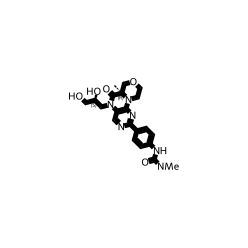 CNC(=O)Nc1ccc(-c2ncc3c(n2)N2CCOC[C@]2(C)C(=O)N3C[C@H](O)CO)cc1